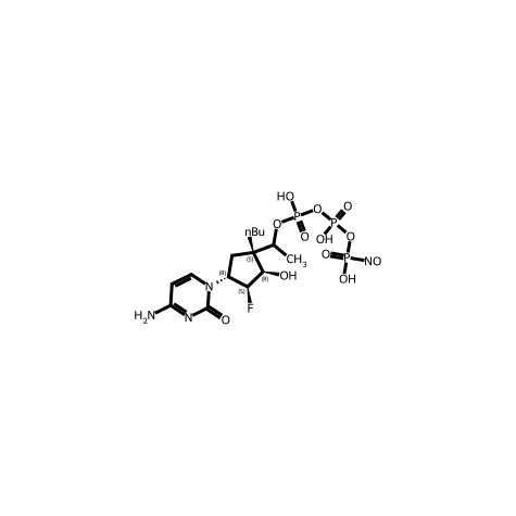 CCCC[C@]1(C(C)OP(=O)(O)OP(=O)(O)OP(=O)(O)N=O)C[C@@H](n2ccc(N)nc2=O)[C@H](F)[C@@H]1O